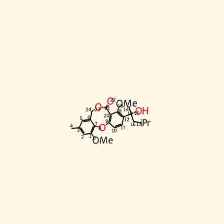 COc1cc(C)cc2c1Oc1ccc(C(C)(O)CC(C)C)c(OC)c1C(=O)OC2